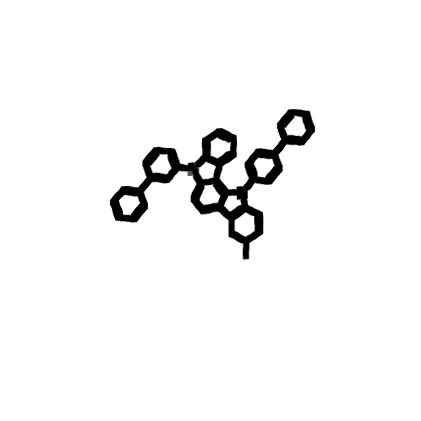 CC1C=Cc2c(c3ccc4c(c5ccccc5n4-c4cccc(-c5ccccc5)c4)c3n2-c2ccc(-c3ccccc3)cc2)C1